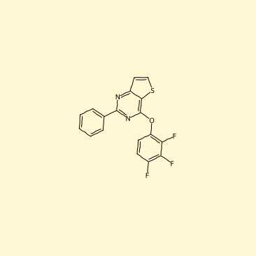 Fc1ccc(Oc2nc(-c3ccccc3)nc3ccsc23)c(F)c1F